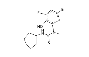 CN(C(=S)NC1CCCCC1)c1cc(Br)cc(F)c1O